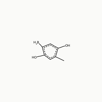 Bc1cc(O)c(C)cc1O